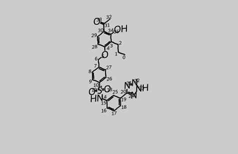 CCCc1c(OCc2ccc(S(=O)(=O)Nc3cccc(-c4nn[nH]n4)c3)cc2)ccc(C(C)=O)c1O